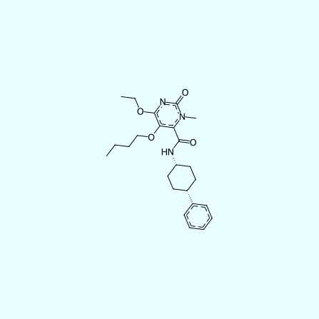 CCCCOc1c(OCC)nc(=O)n(C)c1C(=O)N[C@H]1CC[C@@H](c2ccccc2)CC1